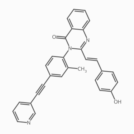 Cc1cc(C#Cc2cccnc2)ccc1-n1c(C=Cc2ccc(O)cc2)nc2ccccc2c1=O